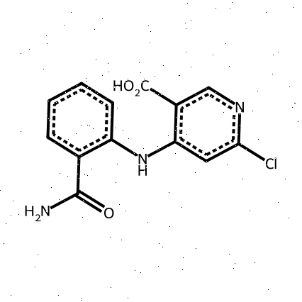 NC(=O)c1ccccc1Nc1cc(Cl)ncc1C(=O)O